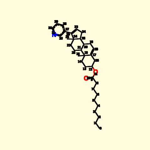 CCCCCCCCCC(=O)OC1CCC2(C)C(=CCC3C2CCC2(C)C(c4cccnc4)=CCC32)C1